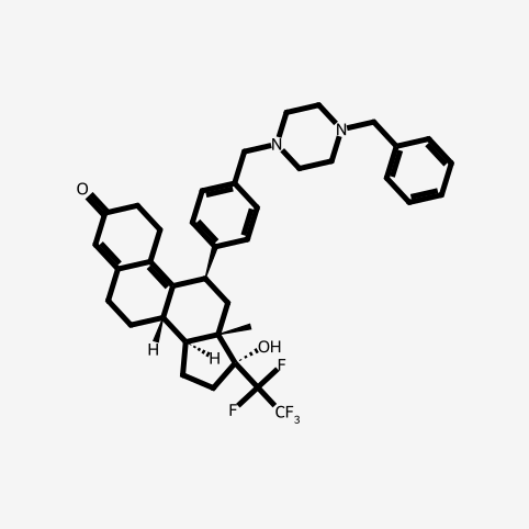 C[C@]12C[C@H](c3ccc(CN4CCN(Cc5ccccc5)CC4)cc3)C3=C4CCC(=O)C=C4CC[C@H]3[C@@H]1CC[C@]2(O)C(F)(F)C(F)(F)F